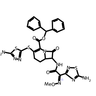 CO/N=C(\C(=O)NC1C(=O)N2C(C(=O)OC(c3ccccc3)c3ccccc3)=C(Sc3nnc(N)s3)CCC12)c1nsc(N)n1